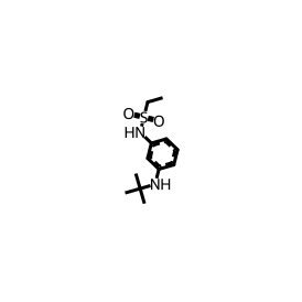 CCS(=O)(=O)Nc1cccc(NC(C)(C)C)c1